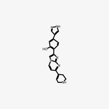 Oc1cc(-c2cn[nH]c2)ccc1-c1cn2ccc(C3=CCNCC3)nc2n1